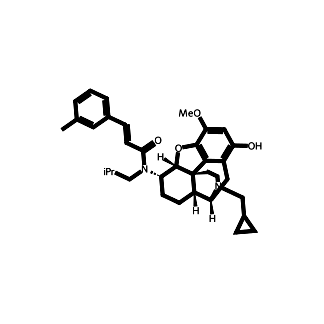 COc1cc(O)c2c3c1O[C@H]1[C@@H](N(CC(C)C)C(=O)C=Cc4cccc(C)c4)CC[C@H]4[C@@H](C2)N(CC2CC2)CC[C@@]341